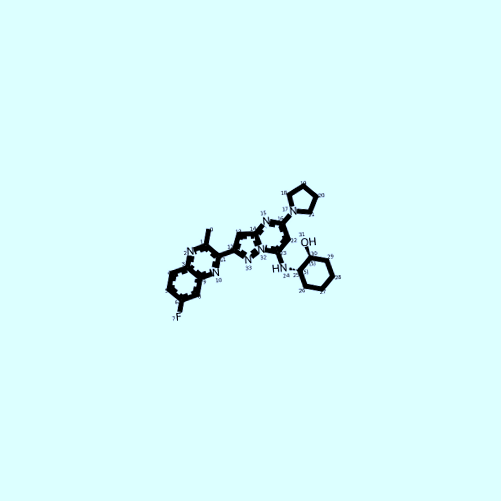 Cc1nc2ccc(F)cc2nc1-c1cc2nc(N3CCCC3)cc(N[C@H]3CCCC[C@@H]3O)n2n1